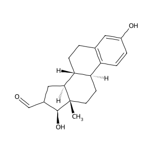 C[C@]12CC[C@@H]3c4ccc(O)cc4CC[C@H]3[C@@H]1CC(C=O)[C@@H]2O